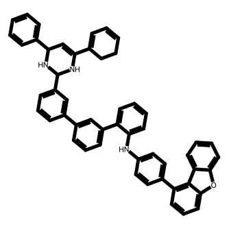 C1=CCCC(C2=CC(c3ccccc3)NC(c3cccc(-c4cccc(-c5ccccc5Nc5ccc(-c6cccc7oc8ccccc8c67)cc5)c4)c3)N2)=C1